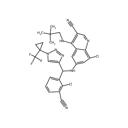 CC(C)(C)CNc1c(C#N)cnc2c(Cl)cc(NC(c3cn(C4(C(F)(F)F)CC4)nn3)c3cccc(C#N)c3Cl)cc12